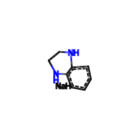 [NaH].c1ccc2c(c1)NCCN2